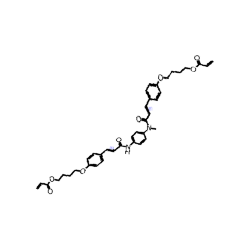 C=CC(=O)OCCCCOc1ccc(/C=C/C(=O)Nc2ccc(N(C)C(=O)/C=C/c3ccc(OCCCCOC(=O)C=C)cc3)cc2)cc1